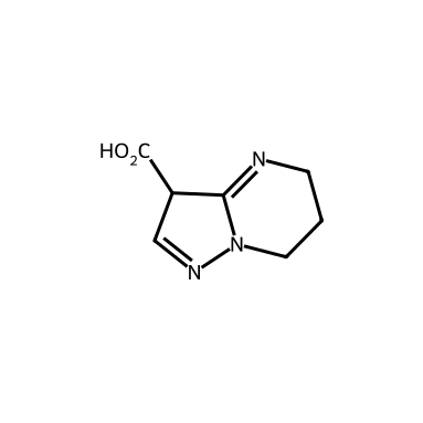 O=C(O)C1C=NN2CCCN=C12